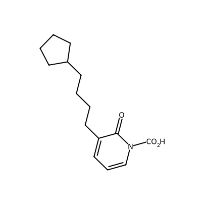 O=C(O)n1cccc(CCCCC2CCCC2)c1=O